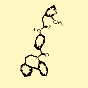 Cc1sccc1CC(=O)Nc1ccc(C(=O)N2CCc3ccccc3-c3ccccc32)cc1